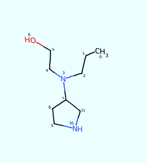 CCCN(CCO)C1CCNC1